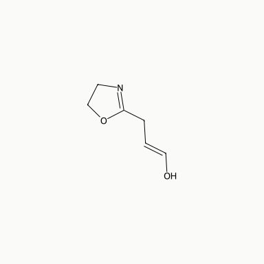 OC=CCC1=NCCO1